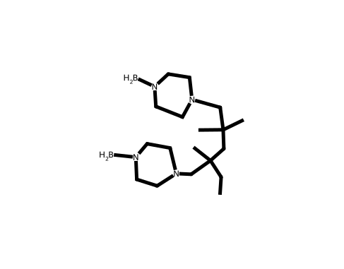 BN1CCN(CC(C)(C)CC(C)(CC)CN2CCN(B)CC2)CC1